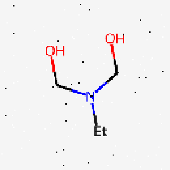 [CH2]CN(CO)CO